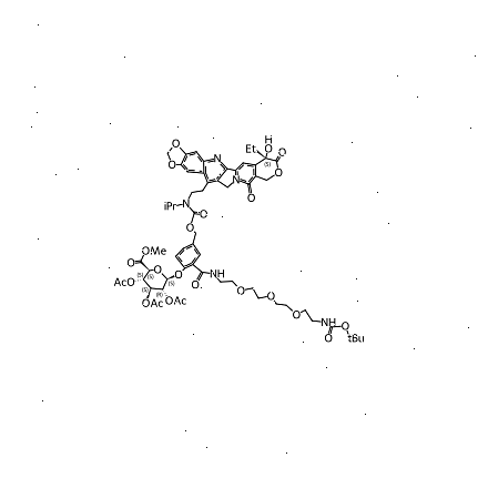 CC[C@@]1(O)C(=O)OCc2c1cc1n(c2=O)Cc2c-1nc1cc3c(cc1c2CCN(C(=O)OCc1ccc(O[C@@H]2O[C@H](C(=O)OC)[C@@H](OC(C)=O)[C@H](OC(C)=O)[C@H]2OC(C)=O)c(C(=O)NCCOCCOCCOCCNC(=O)OC(C)(C)C)c1)C(C)C)OCO3